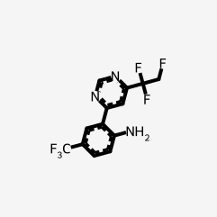 Nc1ccc(C(F)(F)F)cc1-c1cc(C(F)(F)CF)ncn1